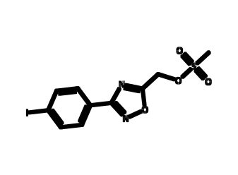 CS(=O)(=O)OCc1nc(-c2ccc(I)cc2)no1